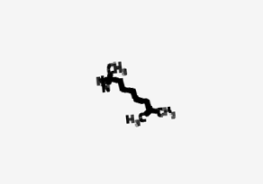 CC(C)CCCCCC1(C)N=N1